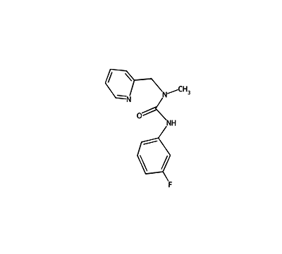 CN(Cc1ccccn1)C(=O)Nc1cccc(F)c1